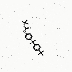 CC(C)(C)OC(=O)Oc1ccc(C(C)(C)c2ccc(C(C)(C)C)cc2)cc1